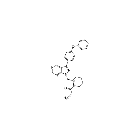 C=CC(=O)N1CCCC[C@@H]1Cn1nc(-c2ccc(Oc3ccccc3)cc2)c2cncnc21